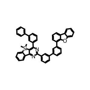 C[Si]1(C)c2ccccc2-c2nc(-c3cccc(-c4cccc(-c5cccc6c5oc5ccccc56)c4)c3)nc(-c3cccc(-c4ccccc4)c3)c21